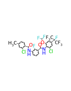 Cc1ccc(C(=O)Nc2cccc(C(=O)Nc3c(Cl)cc(C(F)(C(F)(F)F)C(F)(F)F)cc3OC(F)F)c2F)c(Cl)c1